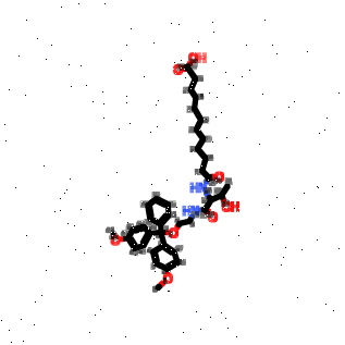 COc1ccc(C(OCCNC(=O)C(NC(=O)CCCCCCCCCCC(=O)O)C(C)O)(c2ccccc2)c2ccc(OC)cc2)cc1